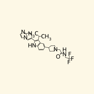 CC(C)c1c(-c2ccc3nccn3c2)[nH]c2ccc(C3CCN(CC(=O)NCC(F)(F)F)CC3)cc12